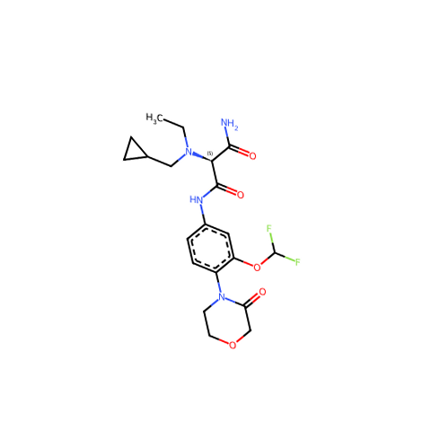 CCN(CC1CC1)[C@@H](C(N)=O)C(=O)Nc1ccc(N2CCOCC2=O)c(OC(F)F)c1